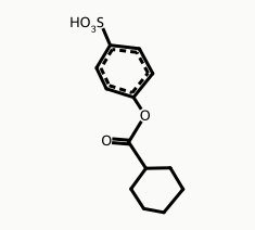 O=C(Oc1ccc(S(=O)(=O)O)cc1)C1CCCCC1